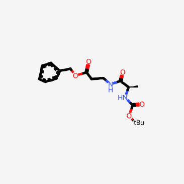 C[C@@H](NC(=O)OC(C)(C)C)C(=O)NCCC(=O)OCc1ccccc1